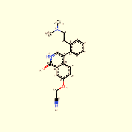 CN(C)CCc1ccccc1-c1c[nH]c(=O)c2cc(OCC#N)ccc12